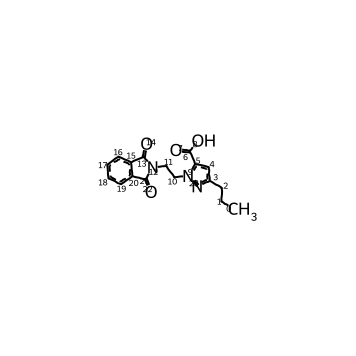 CCCc1cc(C(=O)O)n(CCN2C(=O)c3ccccc3C2=O)n1